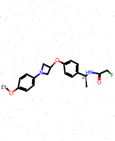 CCOc1ccc(N2CC(Oc3ccc([C@H](C)NC(=O)CF)cc3)C2)cc1